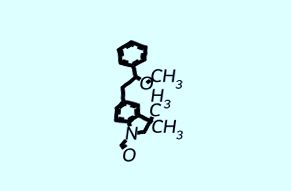 COC(Cc1ccc2c(c1)C(C)(C)CN2C=O)c1ccccc1